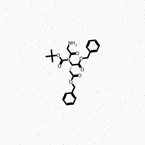 CC(C)(C)OC(=O)N(C(=O)CN)[C@@H](CC(=O)OCc1ccccc1)C(=O)OCc1ccccc1